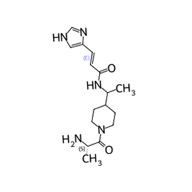 CC(NC(=O)/C=C/c1c[nH]cn1)C1CCN(C(=O)[C@H](C)N)CC1